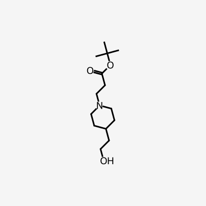 CC(C)(C)OC(=O)CCN1CCC(CCO)CC1